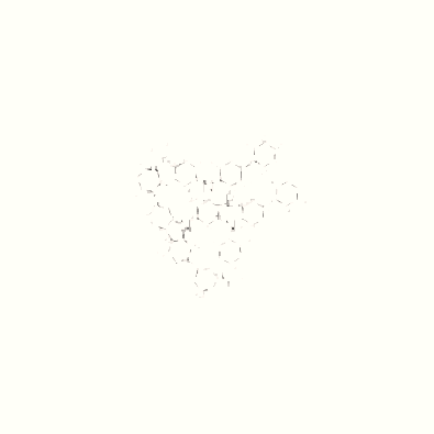 CC(C)(C)c1ccc(N2c3ccc(-c4ccccc4)cc3B3c4cc(-c5ccccc5)ccc4N(c4ccc(C(C)(C)C)cc4)c4cc(-n5c6cc(-c7ccccc7)ccc6c6ccc(-c7ccccc7)cc65)cc2c43)cc1